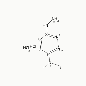 CN(C)c1ccc(NN)nn1.Cl.Cl